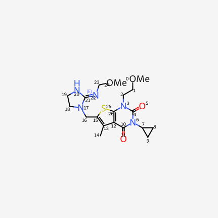 COCCn1c(=O)n(C2CC2)c(=O)c2c(C)c(CN3CCN/C3=N\COC)sc21